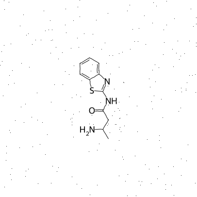 CC(N)CC(=O)Nc1nc2ccccc2s1